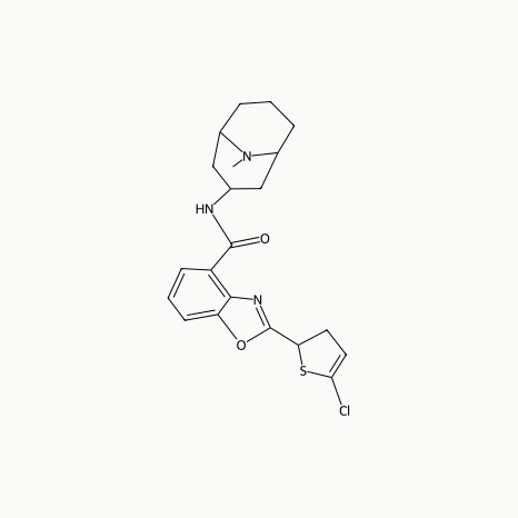 CN1C2CCCC1CC(NC(=O)c1cccc3oc(C4CC=C(Cl)S4)nc13)C2